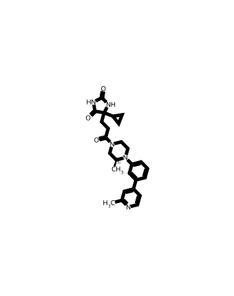 Cc1cc(-c2cccc(N3CCN(C(=O)CCC4(C5CC5)NC(=O)NC4=O)C[C@@H]3C)c2)ccn1